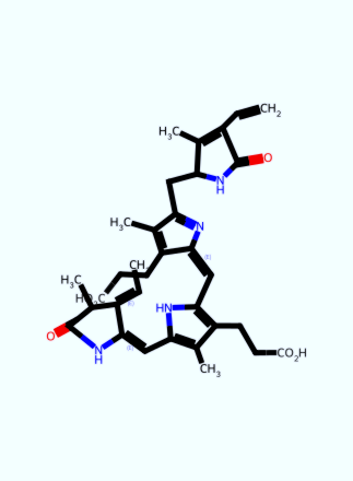 C=CC1=C(C)C(CC2=N/C(=C/c3[nH]c(/C=C4/NC(=O)C(C)/C4=C\C)c(C)c3CCC(=O)O)C(CCC(=O)O)=C2C)NC1=O